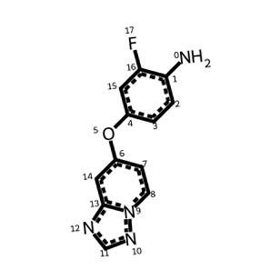 Nc1ccc(Oc2ccn3ncnc3c2)cc1F